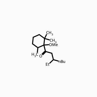 CCCCC(CC)CC(=O)C1(OC)C(C)CCCC1(C)C